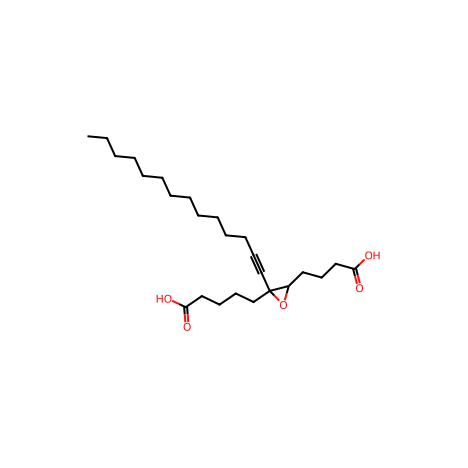 CCCCCCCCCCCCC#CC1(CCCCC(=O)O)OC1CCCC(=O)O